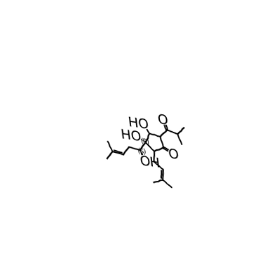 CC(C)=CCC1C(=O)C(C(=O)C(C)C)C(O)[C@]1(O)[C@@H](O)CC=C(C)C